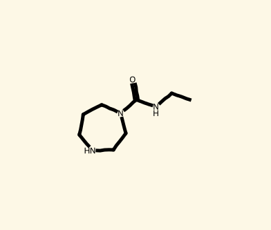 CCNC(=O)N1CCCNCC1